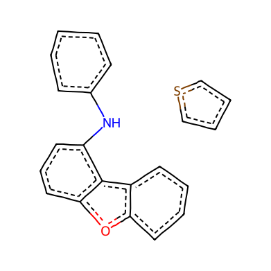 c1ccc(Nc2cccc3oc4ccccc4c23)cc1.c1ccsc1